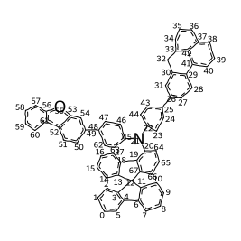 c1ccc2c(c1)-c1ccccc1C21c2ccccc2-c2c(N(c3ccc(-c4ccc5c(c4)Cc4cccc6cccc-5c46)cc3)c3ccc(-c4ccc5c(c4)oc4ccccc45)cc3)cccc21